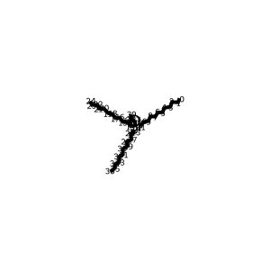 CCCCCCCCCCCC[Si](CCCCCCCCCCCC)(CCCCCCCCCCCC)OCC